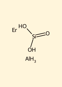 O=[Si](O)O.[AlH3].[Er]